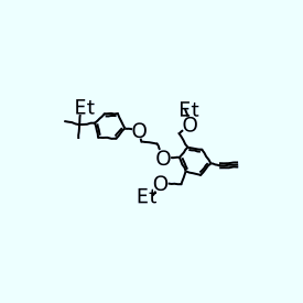 C#Cc1cc(COCC)c(OCCOc2ccc(C(C)(C)CC)cc2)c(COCC)c1